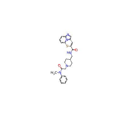 CN(C(=O)CN1CCC(CNC(=O)C2=Cc3cnc4cccc(n34)S2)CC1)c1ccccc1